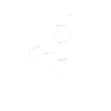 CCOC(=O)C(c1ccc(Br)cc1)c1cscn1